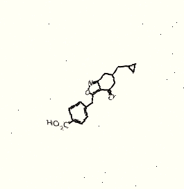 O=C(O)c1ccc(Cc2onc3c2C(=O)CC(CC2CC2)C3)cc1